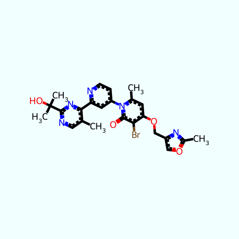 Cc1nc(COc2cc(C)n(-c3ccnc(-c4nc(C(C)(C)O)ncc4C)c3)c(=O)c2Br)co1